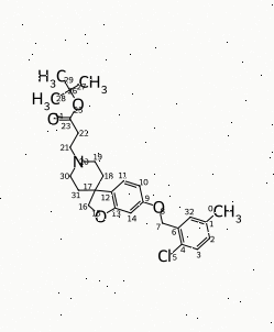 Cc1ccc(Cl)c(COc2ccc3c(c2)OCC32CCN(CCC(=O)OC(C)(C)C)CC2)c1